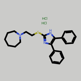 Cl.Cl.c1ccc(-c2nc(SCCN3CCCCCC3)[nH]c2-c2ccccc2)cc1